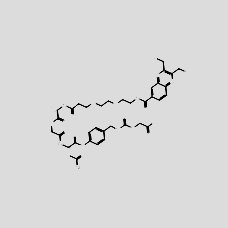 CC(=O)CNC(=O)OCc1ccc(NC(=O)[C@H](CC(N)=O)NC(=O)[C@H](C)NC(=O)[C@H](C)NC(=O)CCOCCOCCNC(=O)c2ccc3nc(CBr)c(CBr)nc3c2)cc1